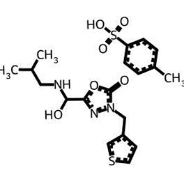 CC(C)CNC(O)c1nn(Cc2ccsc2)c(=O)o1.Cc1ccc(S(=O)(=O)O)cc1